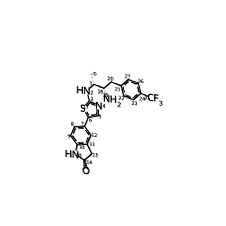 C[C@@H](Nc1ncc(-c2ccc3c(c2)CC(=O)N3)s1)[C@@H](N)Cc1ccc(C(F)(F)F)cc1